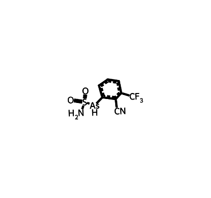 N#Cc1c([AsH]S(N)(=O)=O)cccc1C(F)(F)F